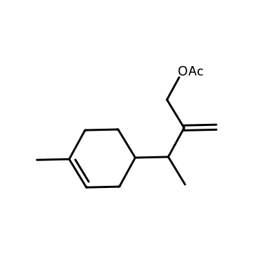 C=C(COC(C)=O)C(C)C1CC=C(C)CC1